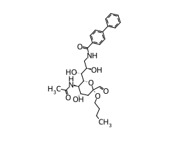 CCCCO[C@]1(C=O)C[C@H](O)[C@@H](NC(C)=O)[C@H]([C@H](O)[C@H](O)CNC(=O)c2ccc(-c3ccccc3)cc2)O1